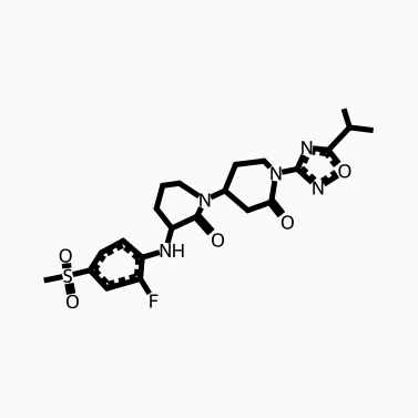 CC(C)c1nc(N2CCC(N3CCCC(Nc4ccc(S(C)(=O)=O)cc4F)C3=O)CC2=O)no1